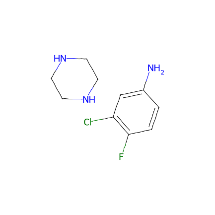 C1CNCCN1.Nc1ccc(F)c(Cl)c1